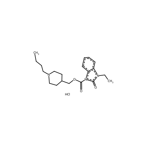 CCCCN1CCC(COC(=O)n2c(=O)n(CC)c3ccccc32)CC1.Cl